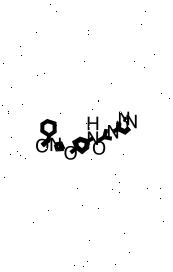 O=C(Nc1ccc(OC2CN(C(=O)C3CCCCC3)C2)cc1)C1CN(c2ccnnc2)C1